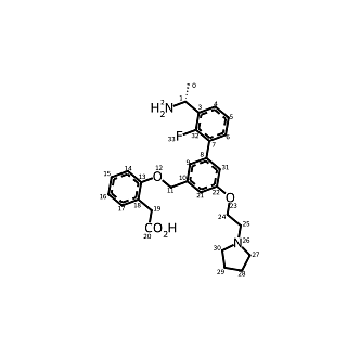 C[C@@H](N)c1cccc(-c2cc(COc3ccccc3CC(=O)O)cc(OCCN3CCCC3)c2)c1F